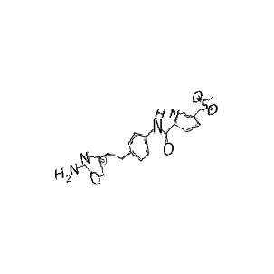 CS(=O)(=O)c1ccc(C(=O)Nc2ccc(CC[C@H]3COC(N)=N3)cc2)nc1